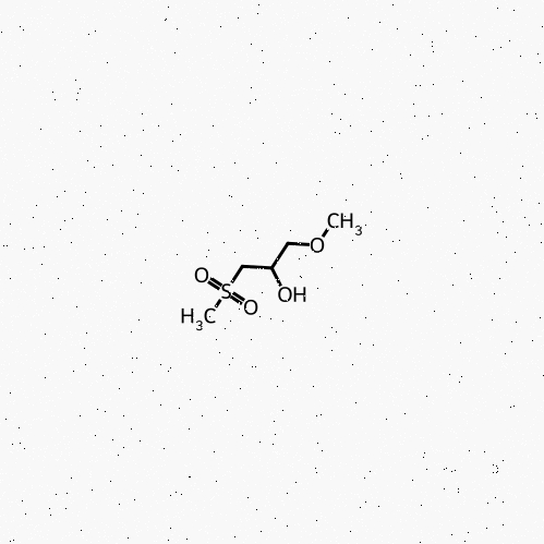 COCC(O)CS(C)(=O)=O